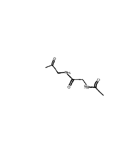 CC(=O)CNC(=O)CNC(C)=O